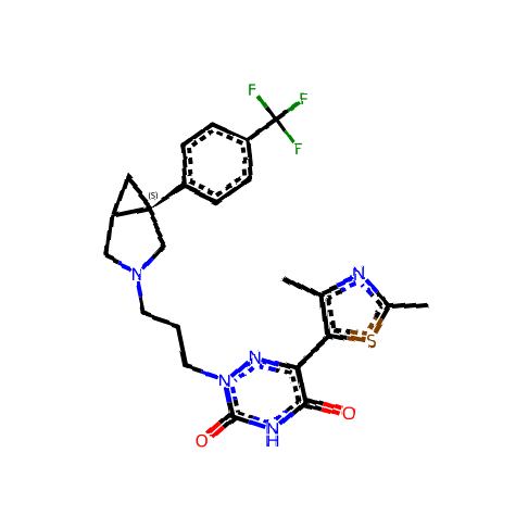 Cc1nc(C)c(-c2nn(CCCN3CC4C[C@]4(c4ccc(C(F)(F)F)cc4)C3)c(=O)[nH]c2=O)s1